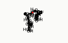 CC[C@@]1(O)C(=O)OCc2c1cc1n(c2=O)Cc2c-1nc1cc(F)c(C)c3c1c2[C@@H](NC(=O)C(C)(C)OCNC(=O)CNC(=O)[C@H](Cc1ccccc1)NC(=O)CNC(=O)CNC(=O)[C@H](CNCOP(=O)(O)O)N1C(=O)C=CC1=O)CC3